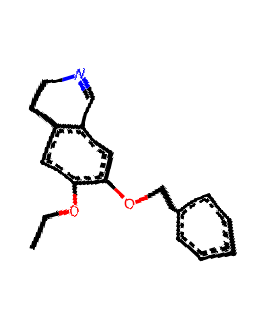 CCOc1cc2c(cc1OCc1ccccc1)C=NCC2